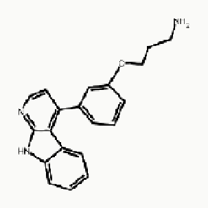 NCCCOc1cccc(-c2ccnc3[nH]c4ccccc4c23)c1